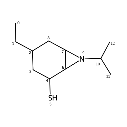 CCC1CC(S)C2C(C1)N2C(C)C